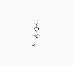 Brc1c(OCC2CC2)n[nH]c1-c1ccc(C2CC[CH]CC2)cc1